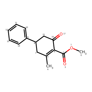 COC(=O)C1=C(C)CC(c2ccccc2)CC1=O